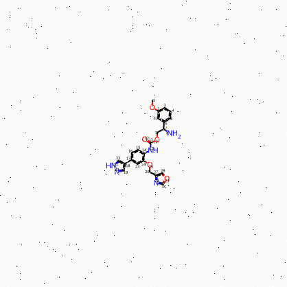 COc1cccc(C(N)COC(=O)Nc2ccc(-c3cn[nH]c3)cc2OCc2cocn2)c1